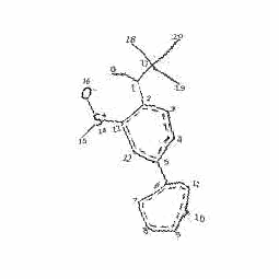 CC(c1ccc(-c2ccccc2)cc1[S+](C)[O-])C(C)(C)C